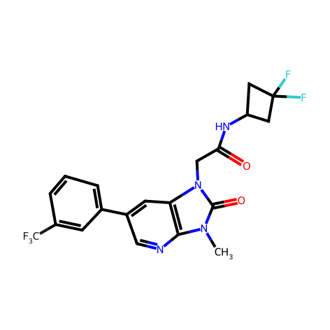 Cn1c(=O)n(CC(=O)NC2CC(F)(F)C2)c2cc(-c3cccc(C(F)(F)F)c3)cnc21